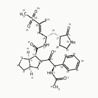 CC(=O)N[C@@H](C(=O)N1C[C@H]2CCC[C@H]2[C@H]1C(=O)N[C@H](/C=C(\F)S(C)(=O)=O)C[C@H]1CCNC1=O)c1ccccc1